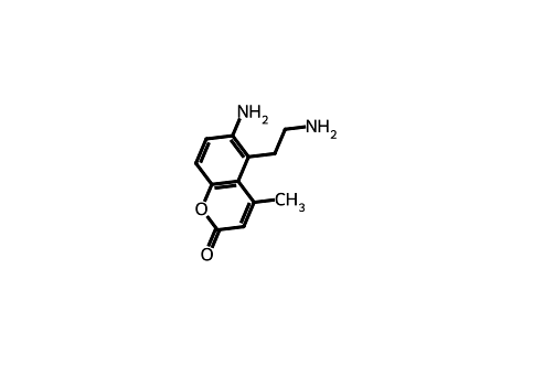 Cc1cc(=O)oc2ccc(N)c(CCN)c12